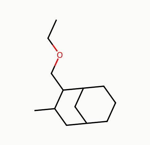 CCOCC1C(C)CC2CCCC1C2